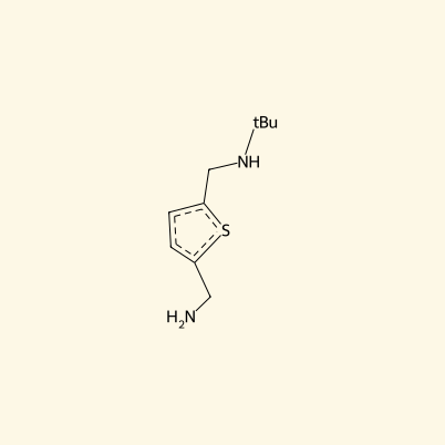 CC(C)(C)NCc1ccc(CN)s1